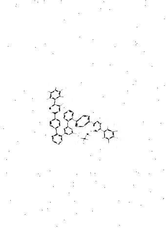 Bc1c(B)c(B)c(-c2cnc(-c3ccc(-c4ccccc4-c4cc(B5OC(C)(C)C(C)(C)O5)cc(-c5ccccc5-c5ccc(-c6cc(C)c(-c7c(B)c(B)c(B)c(B)c7B)cn6)cc5)c4)cc3)cc2C)c(B)c1B